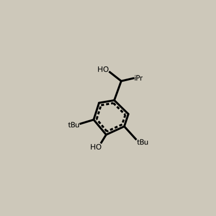 CC(C)C(O)c1cc(C(C)(C)C)c(O)c(C(C)(C)C)c1